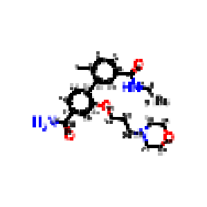 Cc1ccc(C(=O)NCC(C)(C)C)cc1-c1ccc(C(N)=O)cc1OCCCN1CCOCC1